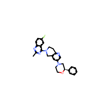 Cc1nc(N2CCc3ncc(N4CCO[C@H](c5ccccc5)C4)cc3C2)c2cc(F)ccc2n1